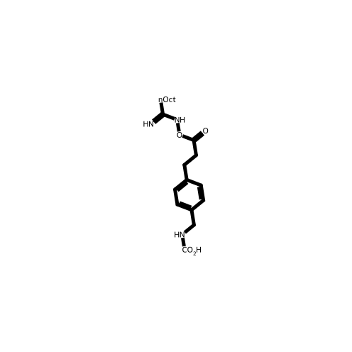 CCCCCCCCC(=N)NOC(=O)CCc1ccc(CNC(=O)O)cc1